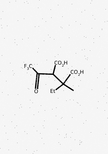 CCC(C)(C(=O)O)C(C(=O)O)C(=O)C(F)(F)F